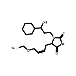 O=C(O)COC/C=C\CC1C(=O)NC(=O)N1CCC(O)C1CCCCC1